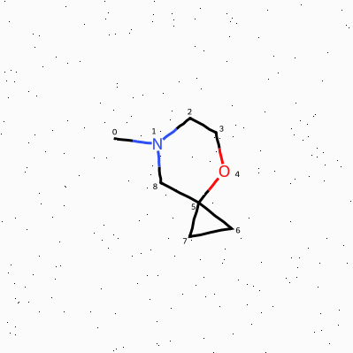 CN1CCOC2(CC2)C1